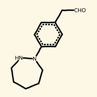 O=CCc1ccc(N2CCCCCN2)cc1